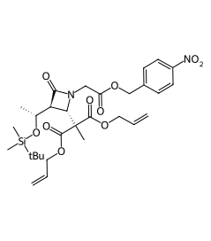 C=CCOC(=O)C(C)(C(=O)OCC=C)[C@@H]1[C@@H]([C@@H](C)O[Si](C)(C)C(C)(C)C)C(=O)N1CC(=O)OCc1ccc([N+](=O)[O-])cc1